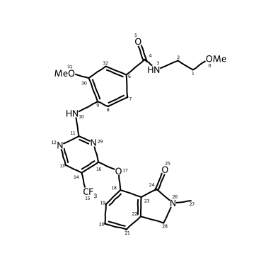 COCCNC(=O)c1ccc(Nc2ncc(C(F)(F)F)c(Oc3cccc4c3C(=O)N(C)C4)n2)c(OC)c1